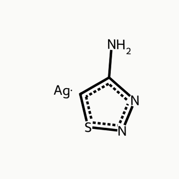 Nc1csnn1.[Ag]